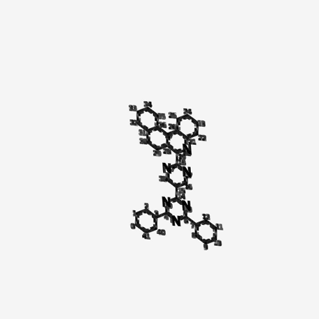 c1ccc(-c2nc(-c3ccccc3)nc(-c3cnc(-c4nc5ccccc5c5c4ccc4ccccc45)nc3)n2)cc1